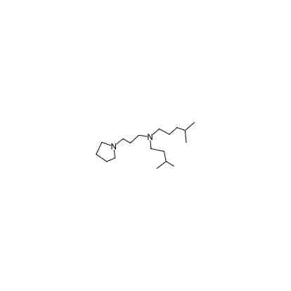 CC(C)CCCN(CCCN1CCCC1)CCC(C)C